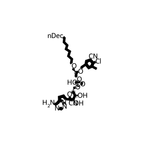 CCCCCCCCCCCCCCCCCCOC[C@H](COP(=O)(O)OC[C@H]1O[C@@](C#N)(c2ccc3c(N)ncnn23)[C@H](O)[C@@H]1O)OCc1cc(C)c(Cl)c(C#N)c1